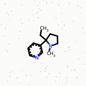 CCC1(c2cccnc2)CCCN1C